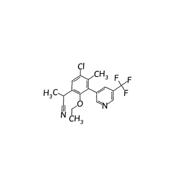 CCOc1c(C(C)C#N)cc(Cl)c(C)c1-c1cncc(C(F)(F)F)c1